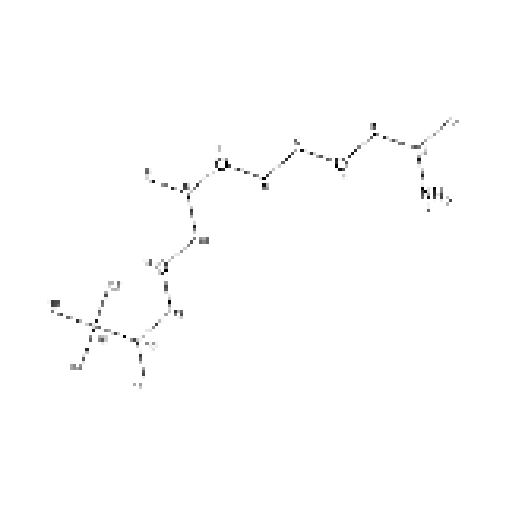 CC(N)COCCOC(C)COCC(C)C(C)(C)C